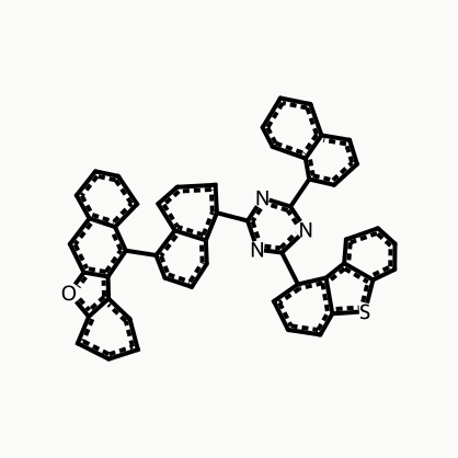 c1ccc2c(-c3nc(-c4cccc5c(-c6c7ccccc7cc7oc8ccccc8c67)cccc45)nc(-c4cccc5sc6ccccc6c45)n3)cccc2c1